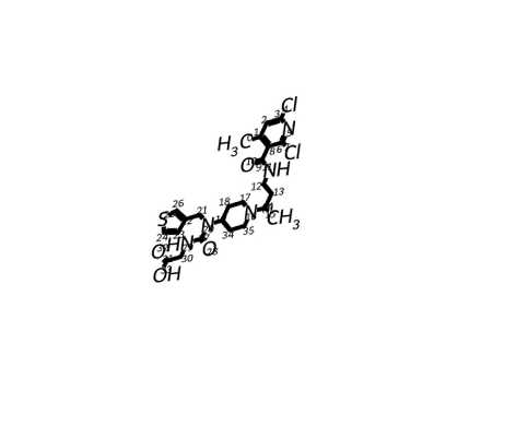 Cc1cc(Cl)nc(Cl)c1C(=O)NCC[C@@H](C)N1CCC(N(Cc2ccsc2)C(=O)NCC(=O)O)CC1